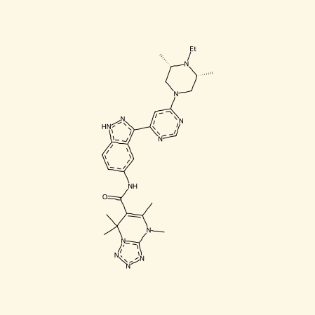 CCN1[C@H](C)CN(c2cc(-c3n[nH]c4ccc(NC(=O)C5=C(C)N(C)c6nnnn6C5(C)C)cc34)ncn2)C[C@@H]1C